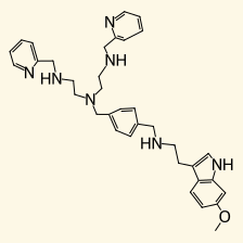 COc1ccc2c(CCNCc3ccc(CN(CCNCc4ccccn4)CCNCc4ccccn4)cc3)c[nH]c2c1